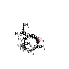 CCOCCO[C@@H]1CC[C@@H](C[C@@H](C)[C@@H]2CC(=O)[C@H](C)/C=C(\C)[C@@H](O)[C@@H](OC)C(=O)[C@H](C)C[C@H](C)/C=C/C=C/C=C(\C)[C@@H](OC)CC3CC[C@@H](C)[C@@](O)(O3)C(=O)C(=O)N3CCCC[C@H]3C(=O)O2)C[C@H]1OC